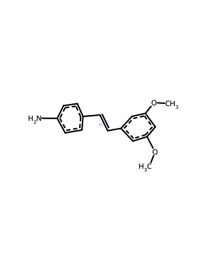 COc1cc(/C=C/c2ccc(N)cc2)cc(OC)c1